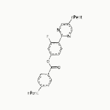 CCCCCc1ccc(C(=O)Oc2ccc(-c3ncc(CCCCC)cn3)c(F)c2)cc1